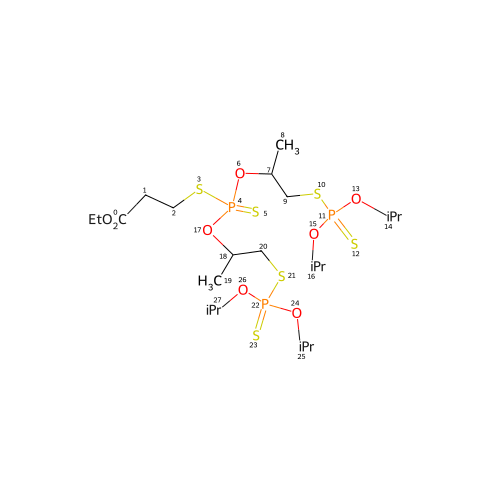 CCOC(=O)CCSP(=S)(OC(C)CSP(=S)(OC(C)C)OC(C)C)OC(C)CSP(=S)(OC(C)C)OC(C)C